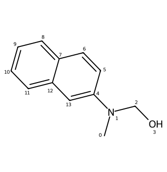 CN(CO)c1ccc2ccccc2c1